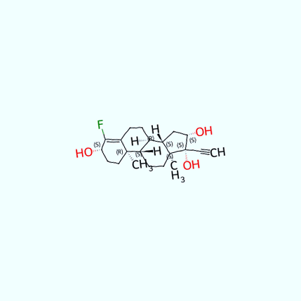 C#C[C@]1(O)[C@@H](O)C[C@H]2[C@@H]3CCC4=C(F)[C@@H](O)CC[C@]4(C)[C@H]3CC[C@@]21C